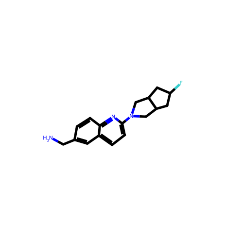 NCc1ccc2nc(N3CC4CC(F)CC4C3)ccc2c1